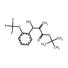 C=C(C(=O)OC(C)(C)C)C(O)c1ccccc1OC(F)(F)F